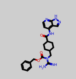 N=C(N)N(CC1CCC(C(=O)Nc2ccnc3[nH]ncc23)CC1)C(=O)OCc1ccccc1